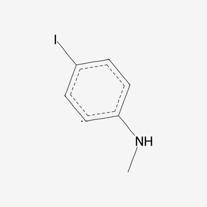 CNc1[c]cc(I)cc1